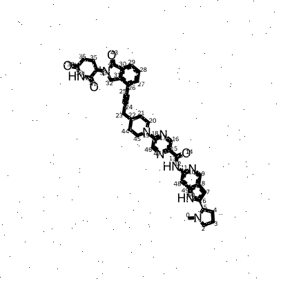 CN1CCC[C@@H]1c1cc2cnc(NC(=O)c3cnc(N4CCC(CC#Cc5cccc6c5CN(C5CCC(=O)NC5=O)C6=O)CC4)cn3)cc2[nH]1